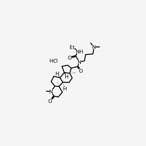 CCNC(=O)N(CCCN(C)C)C(=O)C1CC[C@H]2[C@@H]3CCC4N(C)C(=O)CC[C@]4(C)[C@@H]3CC[C@]12C.Cl